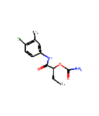 CC(C)(C)C[C@H](OC(N)=O)C(=O)Nc1ccc(Cl)c(C(F)(F)F)c1